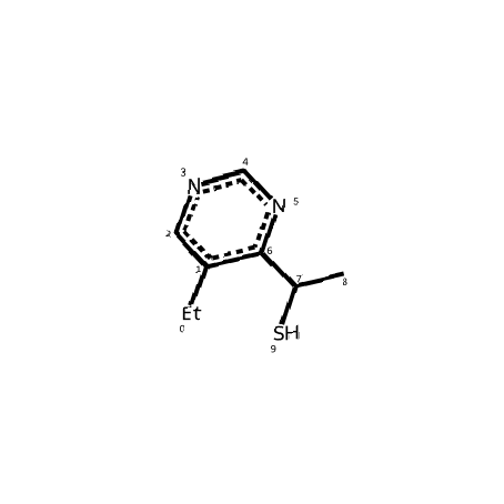 CCc1cncnc1C(C)S